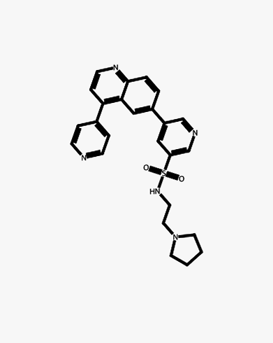 O=S(=O)(NCCN1CCCC1)c1cncc(-c2ccc3nccc(-c4ccncc4)c3c2)c1